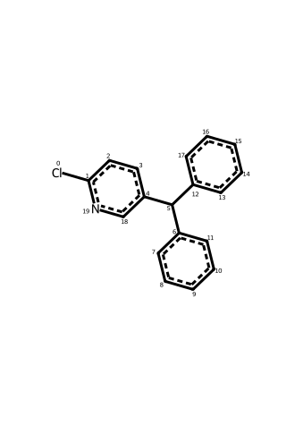 Clc1ccc(C(c2ccccc2)c2ccccc2)cn1